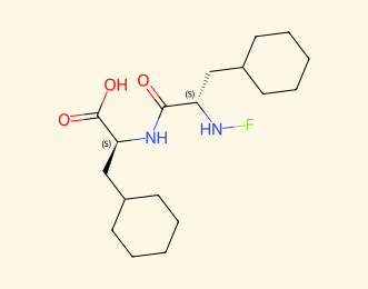 O=C(O)[C@H](CC1CCCCC1)NC(=O)[C@H](CC1CCCCC1)NF